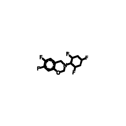 Fc1cc2c(cc1F)OCN(C1C(F)CC(F)CC1F)C2